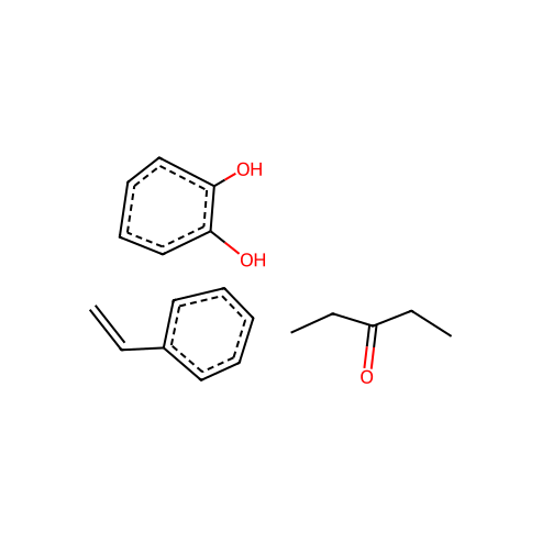 C=Cc1ccccc1.CCC(=O)CC.Oc1ccccc1O